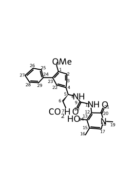 COc1ccc([C@H](CC(=O)O)NC(=O)Nc2c(O)c(C)cn(C)c2=O)cc1-c1ccccc1